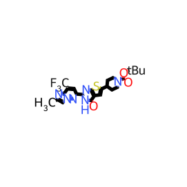 Cc1cn2nc(-c3nc4sc(C5CCN(C(=O)OC(C)(C)C)CC5)cc4c(=O)[nH]3)cc(C(F)(F)F)c2n1